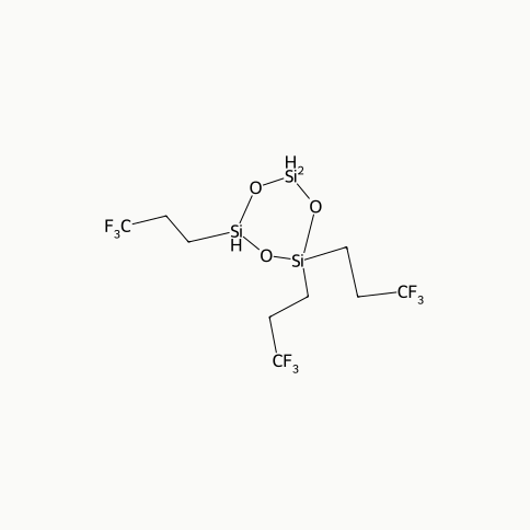 FC(F)(F)CC[SiH]1O[SiH2]O[Si](CCC(F)(F)F)(CCC(F)(F)F)O1